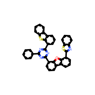 c1ccc(-c2nc(-c3cccc4c3oc3c(-c5nc6ccccc6s5)cccc34)nc(-c3cccc4c3sc3ccccc34)n2)cc1